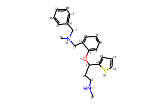 CNCCC(Oc1ccccc1CN(C)Cc1ccccc1)c1cccs1